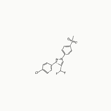 CS(=O)(=O)c1ccc(-n2cc(C(F)F)c(-c3ccc(Cl)cc3)n2)cc1